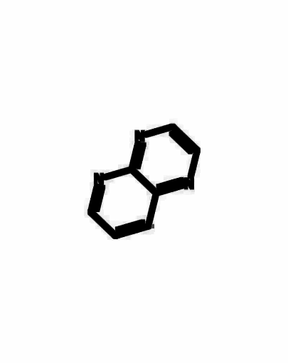 [c]1ccnc2nccnc12